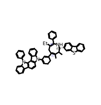 CC/C1=C(\c2ccccc2)N[C@H](c2ccc3c(c2)sc2ccccc23)C(C)/C(C)=C(/C2=CC(n3c4ccccc4c4c3ccc3c5ccccc5n(-c5ccccc5)c34)=CCC2)C1